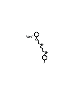 COc1ccccc1OCCNCCCNc1ccc(F)cc1